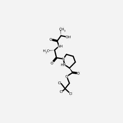 C[C@H](O)C(=O)N[C@@H](C)C(=O)N1CCC[C@@H](C(=O)OCC(Cl)(Cl)Cl)N1